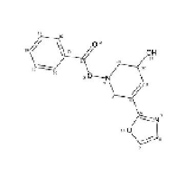 O=C(ON1CC(c2ncco2)=CC(O)C1)c1ccccc1